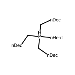 CCCCCCCCCCC[PH](CCCCCCC)(CCCCCCCCCCC)CCCCCCCCCCC